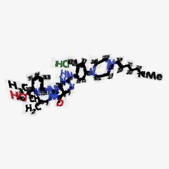 C=CCn1c(=O)c2cnc(Nc3ccc(N4CCN(CCCCCNC)CC4)cc3)nc2n1-c1cccc(C(C)(C)O)n1.Cl